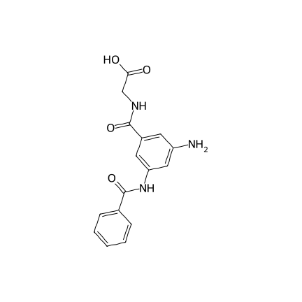 Nc1cc(NC(=O)c2ccccc2)cc(C(=O)NCC(=O)O)c1